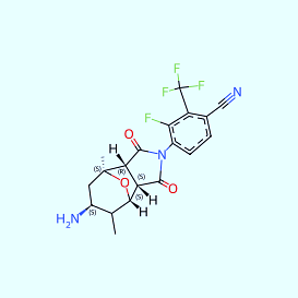 CC1[C@@H](N)C[C@]2(C)O[C@@H]1[C@H]1C(=O)N(c3ccc(C#N)c(C(F)(F)F)c3F)C(=O)[C@H]12